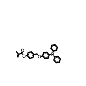 C=C(C)C(=O)Oc1ccc(COc2ccc(N(c3ccccc3)c3ccccc3)cc2)cc1